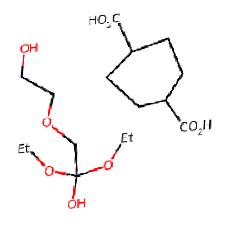 CCOC(O)(COCCO)OCC.O=C(O)C1CCC(C(=O)O)CC1